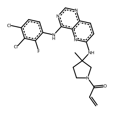 C=CC(=O)N1CCC(C)(Nc2ccc3ncnc(Nc4ccc(Cl)c(Cl)c4F)c3n2)C1